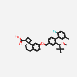 CO[C@@H](c1cc(COc2ccc3c(c2)[C@]2(CCC3)CC[C@@H]2C(=O)O)ccc1-c1cc(C)ccc1F)C(C)(C)C